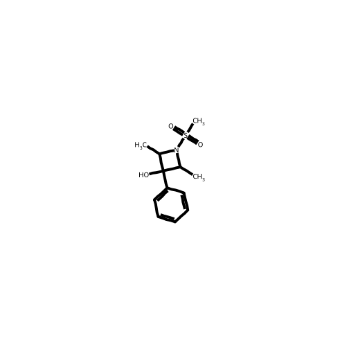 CC1N(S(C)(=O)=O)C(C)C1(O)c1ccccc1